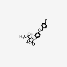 C[C@H](O)C(=O)N[C@H](Cc1ccc(OCc2ccc(F)cc2)cc1)C(=O)O